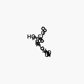 Cc1nn(C)c(CCc2ccc(N3CCN(S(=O)(=O)N(C)C)CC3)cc2)c1-c1cccc2c(CCCOc3cccc4ccccc34)c(C(=O)O)n(CC(C)C)c12